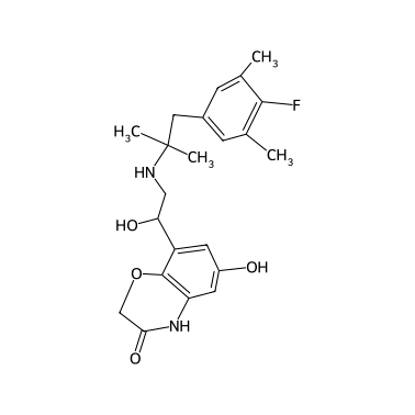 Cc1cc(CC(C)(C)NCC(O)c2cc(O)cc3c2OCC(=O)N3)cc(C)c1F